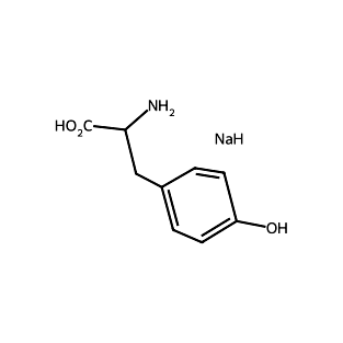 NC(Cc1ccc(O)cc1)C(=O)O.[NaH]